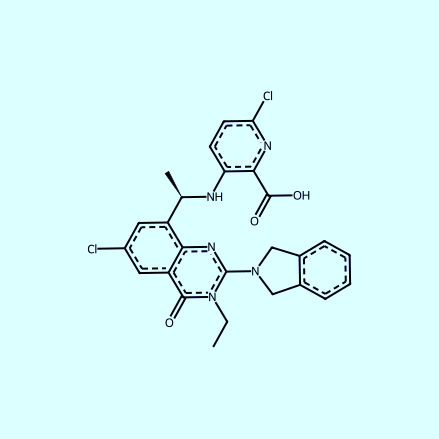 CCn1c(N2Cc3ccccc3C2)nc2c([C@@H](C)Nc3ccc(Cl)nc3C(=O)O)cc(Cl)cc2c1=O